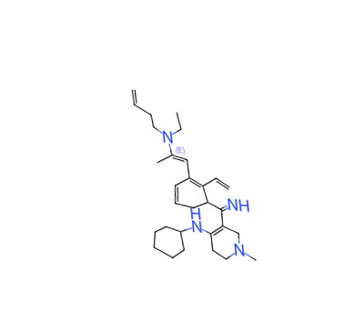 C=CCCN(CC)/C(C)=C/C1=C(C=C)C(C(=N)C2=C(NC3CCCCC3)CCN(C)C2)CC=C1